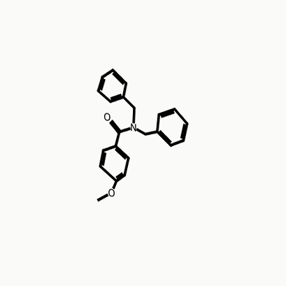 COc1ccc(C(=O)N(Cc2ccccc2)Cc2ccccc2)cc1